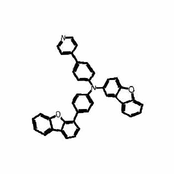 c1ccc2c(c1)oc1ccc(N(c3ccc(-c4ccncc4)cc3)c3ccc(-c4cccc5c4oc4ccccc45)cc3)cc12